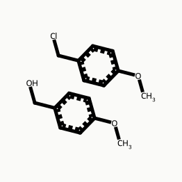 COc1ccc(CCl)cc1.COc1ccc(CO)cc1